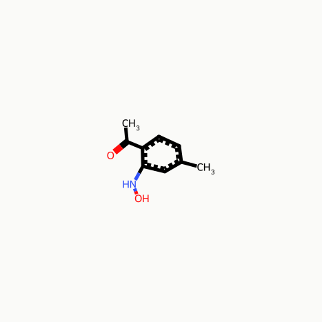 CC(=O)c1ccc(C)cc1NO